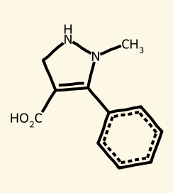 CN1NCC(C(=O)O)=C1c1ccccc1